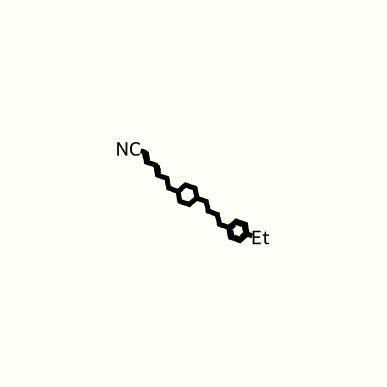 CCc1ccc(CCCCC2CCC(CCC=CC=CC#N)CC2)cc1